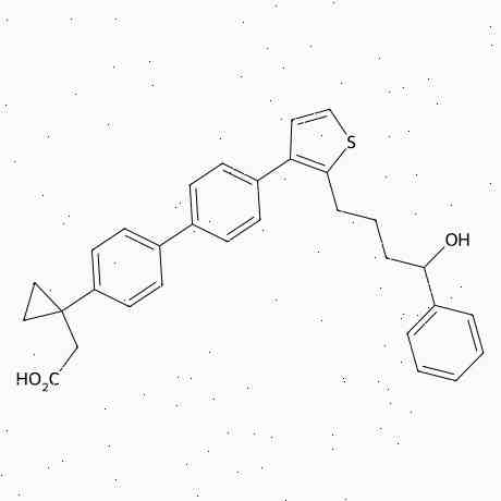 O=C(O)CC1(c2ccc(-c3ccc(-c4ccsc4CCCC(O)c4ccccc4)cc3)cc2)CC1